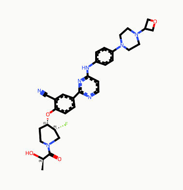 C[C@@H](O)C(=O)N1CC[C@H](Oc2ccc(-c3nccc(Nc4ccc(N5CCN(C6COC6)CC5)cc4)n3)cc2C#N)[C@H](F)C1